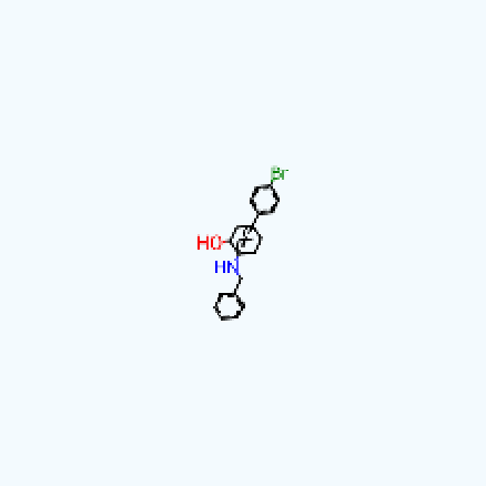 OC1CC2(c3ccc(Br)cc3)CCC1(NCc1ccccc1)CC2